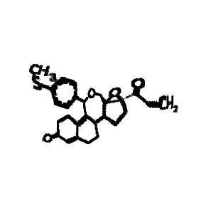 C=CC(=O)[C@]12CCC3C4CCC5=CC(=O)CCC5=C4C(c4ccc(SC)cc4)OCC31O2